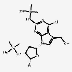 CC[C@H]1O[C@@H](n2cc(CO)c3c(Cl)nc(N[Si](C)(C)C(C)(C)C)nc32)C[C@H]1O[Si](C)(C)C(C)(C)C